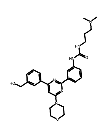 CN(C)CCCNC(=O)Nc1cccc(-c2nc(-c3cccc(CO)c3)cc(N3CCOCC3)n2)c1